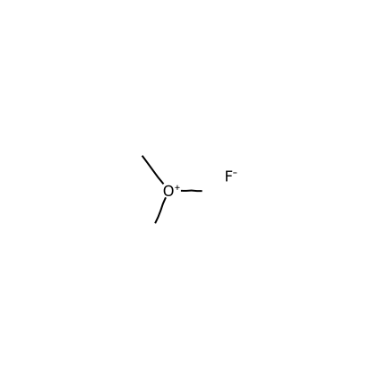 C[O+](C)C.[F-]